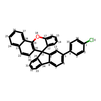 Clc1ccc(-c2ccc3c(c2)C2(c4ccccc4Oc4c2ccc2ccccc42)c2ccccc2-3)cc1